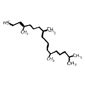 C/C(=C\CS)CCCC(C)CCCC(C)CCCC(C)C